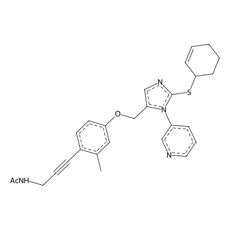 CC(=O)NCC#Cc1ccc(OCc2cnc(SC3C=CCCC3)n2-c2cccnc2)cc1C